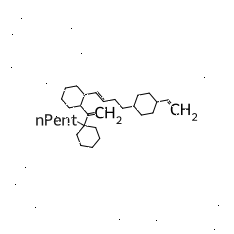 C=CC1CCC(CC/C=C/C2CCCCC2C(=C)C2(CCCCC)CCCCC2)CC1